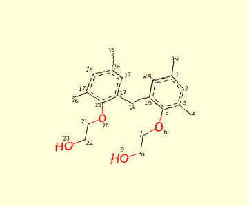 Cc1cc(C)c(OCCO)c(Cc2cc(C)cc(C)c2OCCO)c1